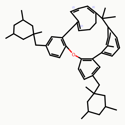 CC1=C=C2C=CC=C1c1cc(CC3(C)CC(C)CC(C)C3)ccc1Oc1ccc(CC3(C)CC(C)CC(C)C3)cc1C1=C\CC\C(=C/C=C\1)C2(C)C